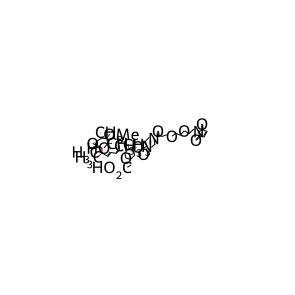 CO[C@H]([C@@H](C)[C@H]1O[C@]1(C)C[C@H](C)/C=C/C=C(\C)[C@H]1O[C@@H](CC(=O)O)C[C@@H](OC(=O)N2CCN(C(=O)CCOCCOCCN3C(=O)C=CC3=O)CC2)[C@@H]1C)[C@@H](C)O